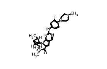 C[C@@H]1C2CC1(n1c(C(=O)N(C)C)cc3cnc(Nc4ccc(N5CCN(C)CC5)c(F)c4)nc31)[C@@H]2C